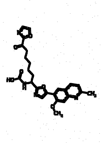 COc1cc2nc(C)ccc2cc1-c1cnc(C(CCCCCC(=O)c2ncco2)NC(=O)O)o1